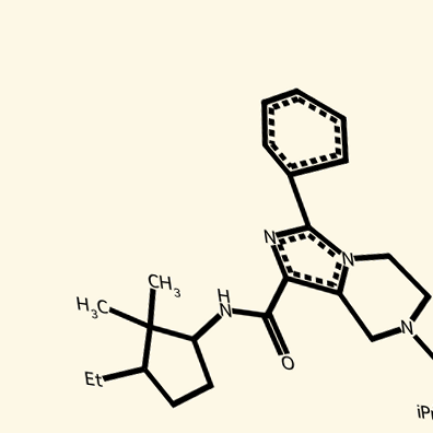 CCC1CCC(NC(=O)c2nc(-c3ccccc3)n3c2CN(CC(C)C)CC3)C1(C)C